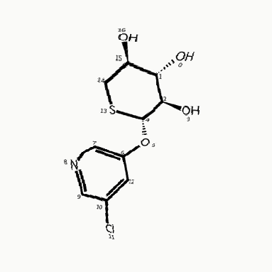 O[C@@H]1[C@@H](O)[C@H](Oc2cncc(Cl)c2)SC[C@H]1O